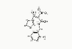 O=c1c([N+](=O)[O-])c(O)c2c(n1Cc1ccccc1Cl)CCC2